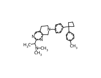 Cc1ccc(C2(c3ccc(N4CCc5cnc(C(C)N(C)C)nc5C4)cc3)CCC2)cc1